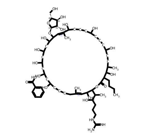 CCCCC1C(=O)OC(C(C)C(O)CCCNC(=N)N)C(C)/C=C(\C)CCCCC(O)CC(O)CC(O)CC(O)CC(O)C(O[C@H]2O[C@H](CO)[C@@H](O)[C@@H]2O)/C=C(\C)C(O)CCCC(O)CCCC(O)CCC(C)C1O.O=C(O)c1ccccc1